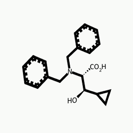 O=C(O)[C@H]([C@H](O)C1CC1)N(Cc1ccccc1)Cc1ccccc1